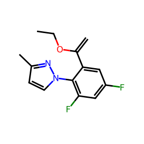 C=C(OCC)c1cc(F)cc(F)c1-n1ccc(C)n1